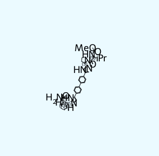 COC(=O)N[C@H](C(=O)N1CCC[C@H]1c1ncc(-c2ccc(-c3ccc(-c4cnc([C@@H]5[C@H]6CC[C@H](C6)[C@H]5C(N)=O)[nH]4)cc3)cc2)[nH]1)C(C)C